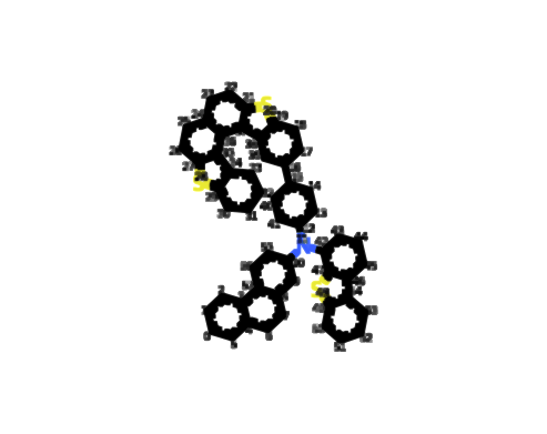 c1ccc2c(c1)ccc1cc(N(c3ccc(-c4ccc5sc6ccc7ccc8sc9ccccc9c8c7c6c5c4)cc3)c3cccc4c3sc3ccccc34)ccc12